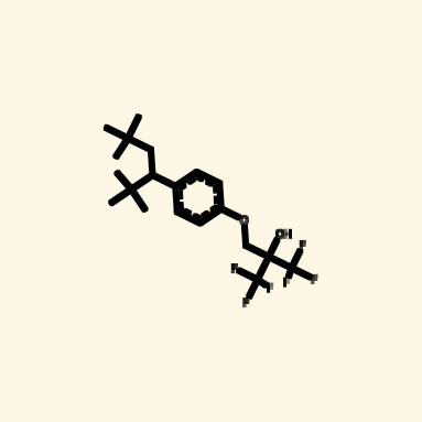 CC(C)(C)CC(c1ccc(OCC(O)(C(F)(F)F)C(F)(F)F)cc1)C(C)(C)C